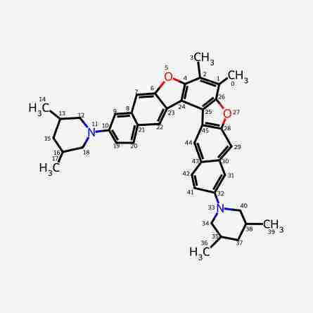 Cc1c(C)c2oc3cc4cc(N5CC(C)CC(C)C5)ccc4cc3c2c2c1oc1cc3cc(N4CC(C)CC(C)C4)ccc3cc12